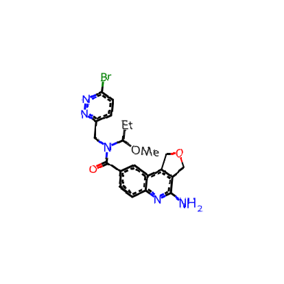 CCC(OC)N(Cc1ccc(Br)nn1)C(=O)c1ccc2nc(N)c3c(c2c1)COC3